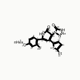 CCCCCCOc1ccc(-c2cc(-c3ccc(CC)s3)c(-n3nn[nH]c3=O)c(=O)[nH]2)c(F)c1